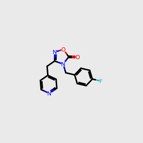 O=c1onc(Cc2ccncc2)n1Cc1ccc(F)cc1